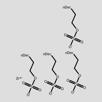 CCCCCCCCCCCCOS(=O)(=O)[O-].CCCCCCCCCCCCOS(=O)(=O)[O-].CCCCCCCCCCCCOS(=O)(=O)[O-].CCCCCCCCCCCCOS(=O)(=O)[O-].[Zr+4]